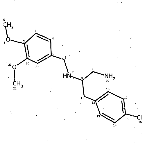 COc1ccc(CNC(CN)Cc2ccc(Cl)cc2)cc1OC